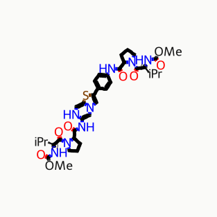 COC(=O)N[C@H](C(=O)N1CCCC1C(=O)NC1=CN2C=C(c3ccc(NC(=O)C4CCCN4C(=O)[C@@H](NC(=O)OC)C(C)C)cc3)SC2=CN1)C(C)C